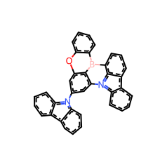 c1ccc2c(c1)Oc1cc(-n3c4ccccc4c4ccccc43)cc3c1B2c1cccc2c4ccccc4n-3c12